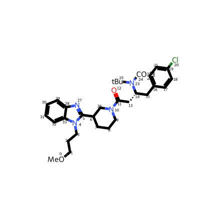 COCCCn1c(C2CCCN(C(=O)C[C@@H](Cc3ccc(Cl)cc3)N(C(=O)O)C(C)(C)C)C2)nc2ccccc21